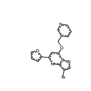 Brc1cnn2c(OCc3cccnc3)cc(-c3ccco3)nc12